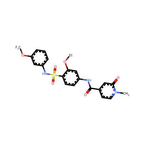 CCOc1cc(NC(=O)c2ccn(C)c(=O)c2)ccc1S(=O)(=O)Nc1cccc(OC(F)(F)F)c1